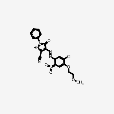 COCCOC1=CC(=S(=O)=O)C(N=Nc2c(C#N)[nH]n(-c3ccccc3)c2=O)C=C1Cl